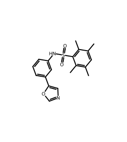 Cc1cc(C)c(C)c(S(=O)(=O)Nc2cccc(-c3cnco3)c2)c1C